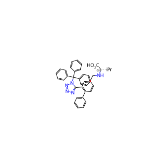 CC(C)[C@H](NCc1ccc(-c2ccccc2)c(-c2nnnn2C(c2ccccc2)(c2ccccc2)c2ccccc2)c1)C(=O)O